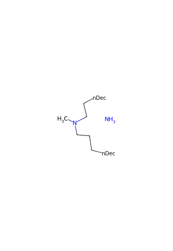 CCCCCCCCCCCCCN(C)CCCCCCCCCCCC.N